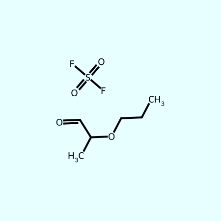 CCCOC(C)C=O.O=S(=O)(F)F